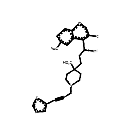 COc1ccc2ncc(Cl)c(C(O)CCC3(C(=O)O)CCN(CC#Cc4cncs4)CC3)c2c1